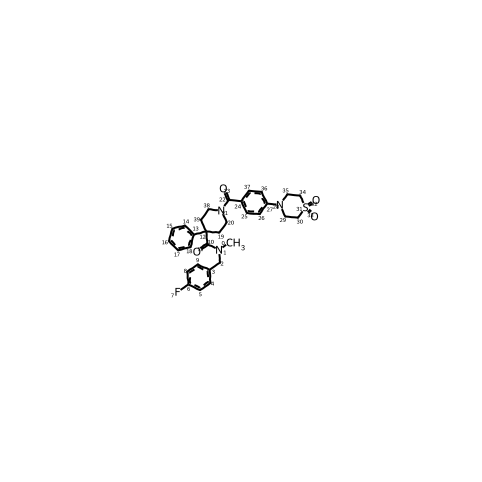 CN(Cc1ccc(F)cc1)C(=O)C1(c2ccccc2)CCN(C(=O)c2ccc(N3CCS(=O)(=O)CC3)cc2)CC1